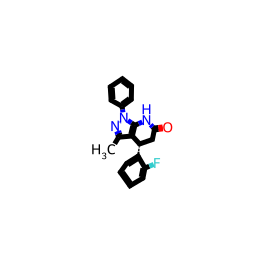 Cc1nn(-c2ccccc2)c2c1[C@@H](c1ccccc1F)CC(=O)N2